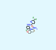 NC1=NC2(c3cc(NC(=O)c4ccc(C(F)F)cn4)ccc3F)COCCC2CS1